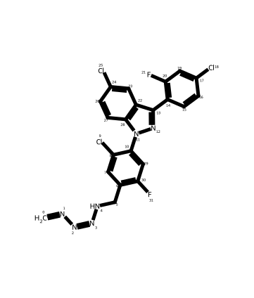 C=N/N=N\NCc1cc(Cl)c(-n2nc(-c3ccc(Cl)cc3F)c3cc(Cl)ccc32)cc1F